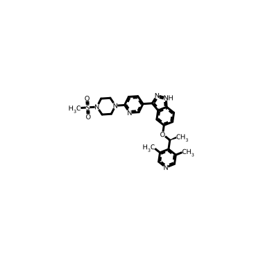 Cc1cncc(C)c1[C@H](C)Oc1ccc2[nH]nc(-c3ccc(N4CCN(S(C)(=O)=O)CC4)nc3)c2c1